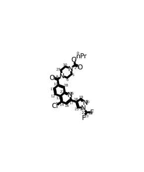 CCCOC(=O)N1CCN(C(=O)c2ccc3c(Cl)cc(-c4cnn(C(F)F)c4)nc3c2)CC1